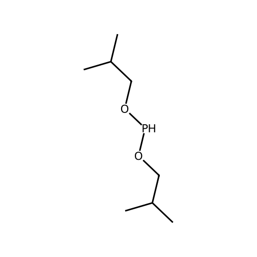 CC(C)COPOCC(C)C